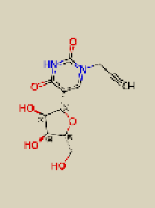 C#CCn1cc([C@@H]2O[C@H](CO)[C@@H](O)[C@H]2O)c(=O)[nH]c1=O